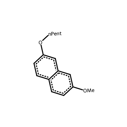 [CH2]Oc1ccc2ccc(OCCCCC)cc2c1